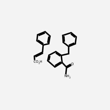 NC(=O)c1ccccc1Cc1ccccc1.O=C(O)C=Cc1ccccc1